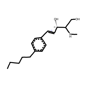 CCCCCc1ccc(/C=C/[C@H](O)C(CO)NC)cc1